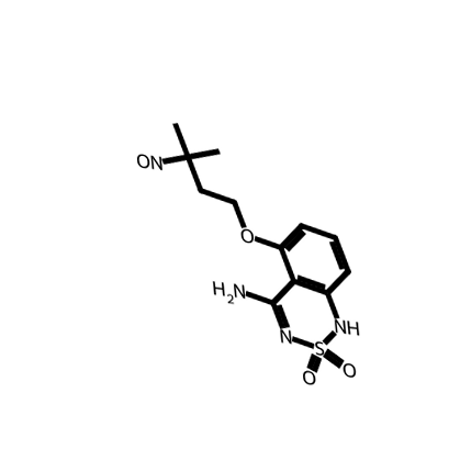 CC(C)(CCOc1cccc2c1C(N)=NS(=O)(=O)N2)N=O